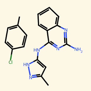 Cc1cc(Nc2nc(N)nc3ccccc23)[nH]n1.Cc1ccc(Cl)cc1